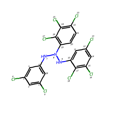 Clc1cc(Cl)cc(NN(Nc2cc(Cl)cc(Cl)c2Cl)c2ccc(Cl)c(Cl)c2Cl)c1